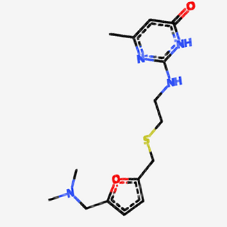 Cc1cc(=O)[nH]c(NCCSCc2ccc(CN(C)C)o2)n1